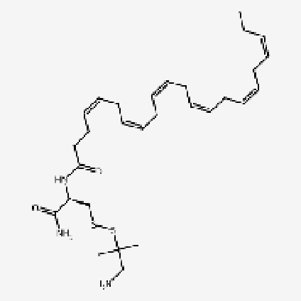 CC/C=C\C/C=C\C/C=C\C/C=C\C/C=C\C/C=C\CCC(=O)N[C@@H](CSSC(C)(C)CN)C(N)=O